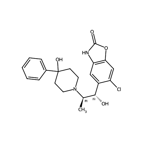 C[C@H]([C@@H](O)c1cc2[nH]c(=O)oc2cc1Cl)N1CCC(O)(c2ccccc2)CC1